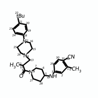 Cc1cc(NC2CCN(C(=O)C(C)CN3CCN(c4ccc(C(C)(C)C)cc4)CC3)CC2)ccc1C#N